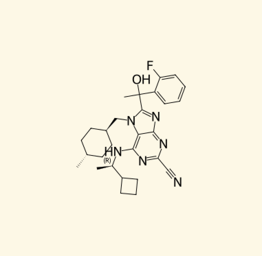 C[C@@H](Nc1nc(C#N)nc2nc(C(C)(O)c3ccccc3F)n(C[C@H]3CC[C@H](C)CC3)c12)C1CCC1